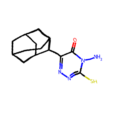 Nn1c(S)nnc(C2C3CC4CC(C3)CC2C4)c1=O